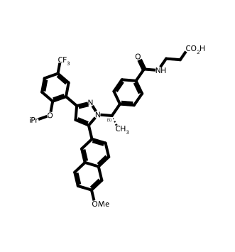 COc1ccc2cc(-c3cc(-c4cc(C(F)(F)F)ccc4OC(C)C)nn3[C@@H](C)c3ccc(C(=O)NCCC(=O)O)cc3)ccc2c1